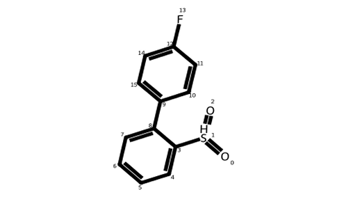 O=[SH](=O)c1ccccc1-c1ccc(F)cc1